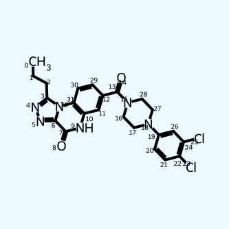 CCCc1nnc2c(=O)[nH]c3cc(C(=O)N4CCN(c5ccc(Cl)c(Cl)c5)CC4)ccc3n12